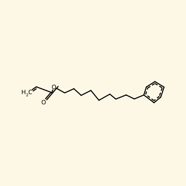 C=CC(=O)OCCCCCCCCCc1ccccc1